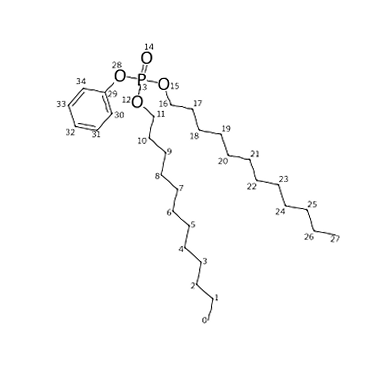 CCCCCCCCCCCCOP(=O)(OCCCCCCCCCCCC)Oc1ccccc1